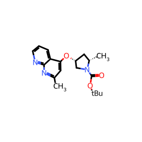 Cc1cc(O[C@@H]2C[C@H](C)N(C(=O)OC(C)(C)C)C2)c2cccnc2n1